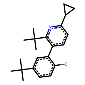 CC(C)(C)c1ccc(Cl)c(-c2ccc(C3CC3)nc2C(C)(C)C)c1